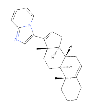 C[C@]12CCCCC1=CC[C@@H]1[C@@H]2CC[C@]2(C)C(c3cnc4ccccn34)=CC[C@@H]12